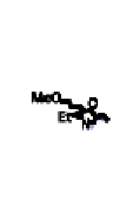 C/C=C(\C=N/C1CC1CC)C(=O)CCCCCOC